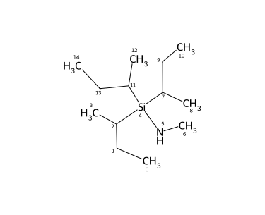 CCC(C)[Si](NC)(C(C)CC)C(C)CC